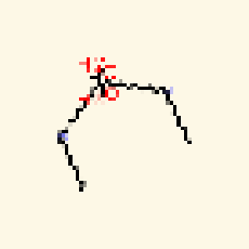 C=C(C(=O)O)C(CCCCCCCC/C=C\CCCCCCCC)(CCCCCCCC/C=C\CCCCCCCC)C(=O)O